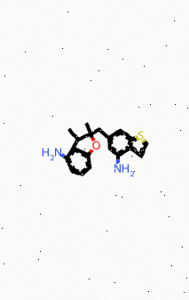 CC1c2c(N)cccc2OC1(C)Cc1cc(N)c2ccsc2c1